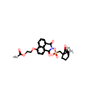 CCCCC(=O)OCCOc1ccc2c3c(cccc13)C(=O)N(OS(=O)(=O)CC13CCC(CC1=O)C3(C)C)C2=O